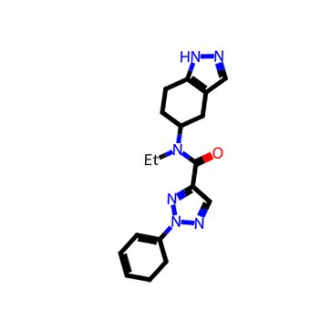 CCN(C(=O)c1cnn(C2=CC=CCC2)n1)C1CCc2[nH]ncc2C1